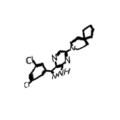 Clc1cc(Cl)cc(-c2n[nH]c3nc(N4CCC5(CCCC5)CC4)cnc23)c1